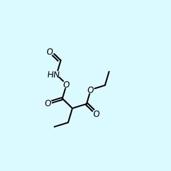 CCOC(=O)C(CC)C(=O)ONC=O